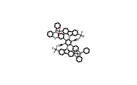 N#Cc1c(-c2ccc3c(c2)Sc2ccccc2N3c2ccccc2)c(-n2c3cc(C(F)(F)F)ccc3c3ccc(C(F)(F)F)cc32)c(C#N)c(-c2ccc3c(c2)Sc2ccccc2N3c2ccccc2)c1-n1c2cc(C(F)(F)F)ccc2c2ccc(C(F)(F)F)cc21